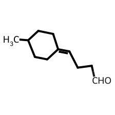 CC1CCC(=CCCC=O)CC1